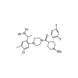 CC(=O)N(C(C)C)C(C)c1cc(C)c(Cl)cc1N1CCN(C(=O)C2CCN(C(C)(C)C)C[C@H]2c2ccc(F)cc2F)CC1